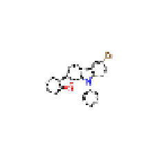 Brc1ccc2c(c1)c1ccc3c4ccccc4oc3c1n2-c1ccccc1